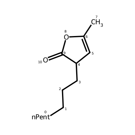 CCCCCCCCC1C=C(C)OC1=O